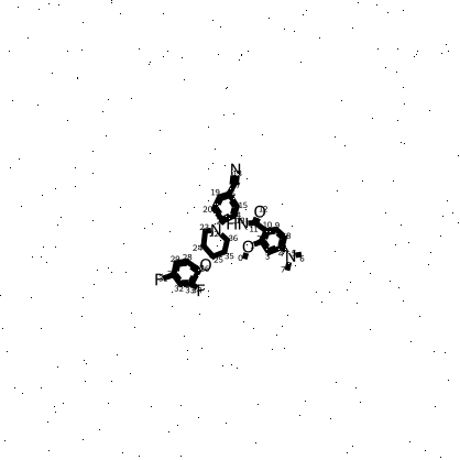 COc1cc(N(C)C)ccc1C(=O)Nc1cc(C#N)ccc1N1CCC(Oc2ccc(F)cc2F)CC1